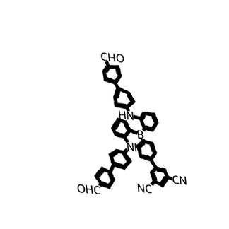 N#Cc1cc(C#N)cc(-c2ccc(B(c3ccccc3Nc3ccc(-c4ccc(C=O)cc4)cc3)c3ccccc3Nc3ccc(-c4ccc(C=O)cc4)cc3)cc2)c1